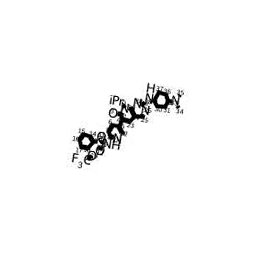 CC(C)n1c(=O)c(-c2ccc(NS(=O)(=O)c3ccccc3OC(F)(F)F)nc2)cc2cnc(NC3CCC(N(C)C)CC3)nc21